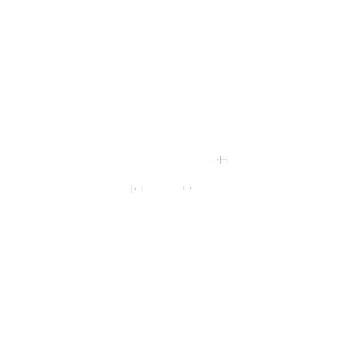 OCC1CC(O)CO1